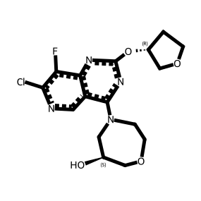 O[C@@H]1COCCN(c2nc(O[C@@H]3CCOC3)nc3c(F)c(Cl)ncc23)C1